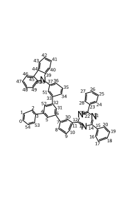 c1ccc(-c2cc(-c3cccc(-c4nc(-c5ccccc5)nc(-c5ccccc5)n4)c3)cc(-c3cccc(-n4c5ccccc5c5ccccc54)c3)c2)cc1